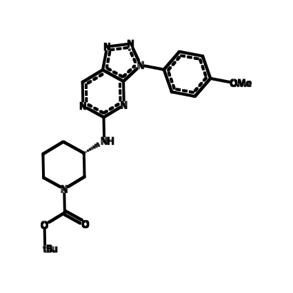 COc1ccc(-n2nnc3cnc(N[C@H]4CCCN(C(=O)OC(C)(C)C)C4)nc32)cc1